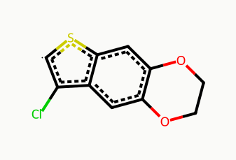 Clc1[c]sc2cc3c(cc12)OCCO3